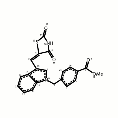 COC(=O)c1ccc(Cn2cc(C=C3SC(=O)NC3=O)c3ccccc32)cc1